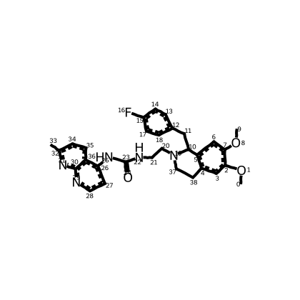 COc1cc2c(cc1OC)C(Cc1ccc(F)cc1)N(CCNC(=O)Nc1ccnc3nc(C)ccc13)CC2